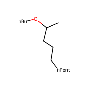 [CH2]CCCOC(C)CCCCCCCC